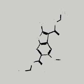 CCOC(=O)c1cc2[nH]c(N)c(C(=O)OCC)c2cc1OC